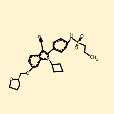 CCCS(=O)(=O)Nc1ccc(-c2c(C#N)c3ccc(OC[C@H]4CCCO4)cc3n2C2CCC2)cc1